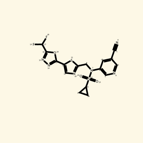 N#Cc1cncc(N(Cc2ncc(-c3nnc(C(F)F)o3)s2)S(=O)(=O)C2CC2)c1